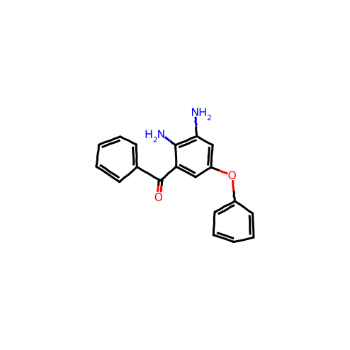 Nc1cc(Oc2ccccc2)cc(C(=O)c2ccccc2)c1N